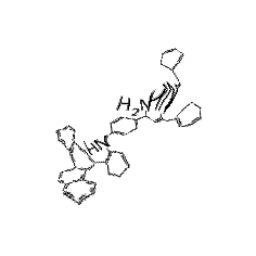 NC(/C=C(\NCC1C=CC=CC1)C1=CC=CCC1)C1C=CC(NC2=C(c3cc4ccccc4c4ccc5ccccc5c34)CCC=C2)=CC1